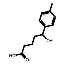 Cc1ccc(C(O)CCCC(=O)O)cc1